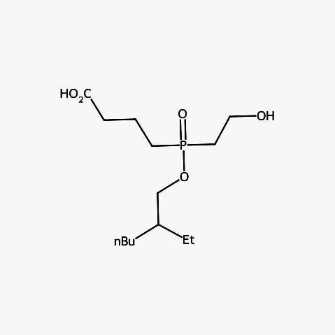 CCCCC(CC)COP(=O)(CCO)CCCC(=O)O